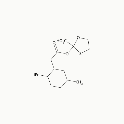 CC1CCC(C(C)C)C(CC(=O)OC2(C(=O)O)OCCS2)C1